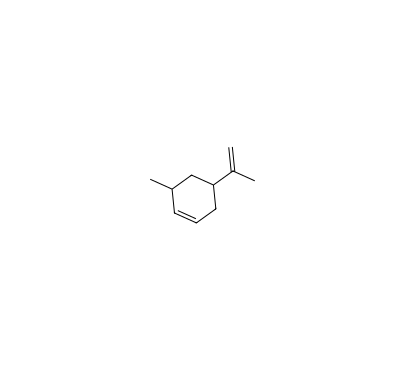 C=C(C)C1CC=CC(C)C1